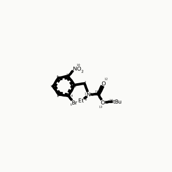 CCN(Cc1c(Br)cccc1[N+](=O)[O-])C(=O)OC(C)(C)C